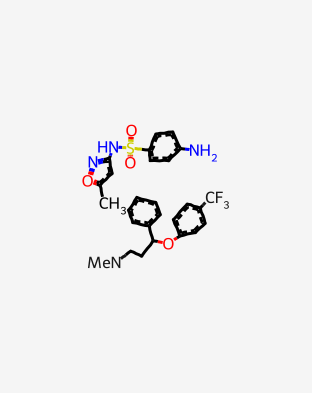 CNCCC(Oc1ccc(C(F)(F)F)cc1)c1ccccc1.Cc1cc(NS(=O)(=O)c2ccc(N)cc2)no1